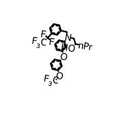 CCCC(O)CN(Cc1cccc(C(F)(F)C(F)(F)F)c1)c1cccc(Oc2cccc(OC(F)(F)F)c2)c1